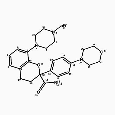 CCCN1CCN(c2cccc3c2OC(C(N)=O)(c2ccc(N4CCOCC4)cc2)CC3)CC1